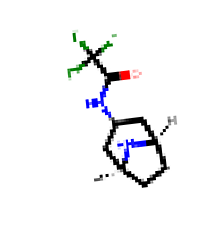 O=C(N[C@H]1C[C@H]2CC[C@@H](C1)N2)C(F)(F)F